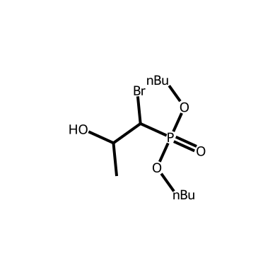 CCCCOP(=O)(OCCCC)C(Br)C(C)O